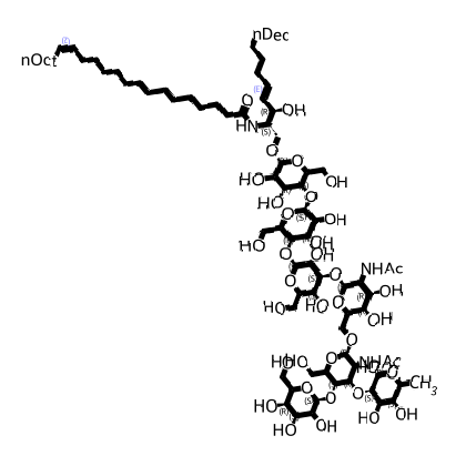 CCCCCCCC/C=C\CCCCCCCCCCCCCC(=O)N[C@@H](CO[C@@H]1OC(CO)[C@@H](O[C@@H]2OC(CO)[C@H](O[C@@H]3OC(CO)[C@H](O)[C@H](O[C@@H]4OC(CO[C@@H]5OC(CO)[C@@H](O[C@@H]6OC(CO)[C@H](O)[C@H](O)C6O)[C@H](O[C@H]6C(O)[C@H](O)C(C)O[C@H]6O)C5NC(C)=O)[C@H](O)[C@H](O)C4NC(C)=O)C3O)[C@H](O)C2O)[C@H](O)C1O)[C@H](O)/C=C/CCCCCCCCCCCCC